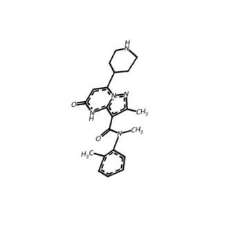 Cc1ccccc1N(C)C(=O)c1c(C)nn2c(C3CCNCC3)cc(=O)[nH]c12